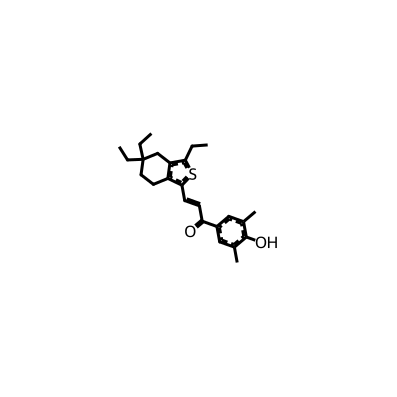 CCc1sc(C=CC(=O)c2cc(C)c(O)c(C)c2)c2c1CC(CC)(CC)CC2